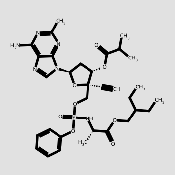 C#C[C@]1(COP(=O)(N[C@@H](C)C(=O)OCC(CC)CC)Oc2ccccc2)O[C@@H](n2cnc3c(N)nc(C)nc32)C[C@@H]1OC(=O)C(C)C